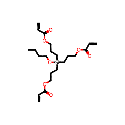 C=CC(=O)OCCC[Si](CCCOC(=O)C=C)(CCCOC(=O)C=C)OCCCC